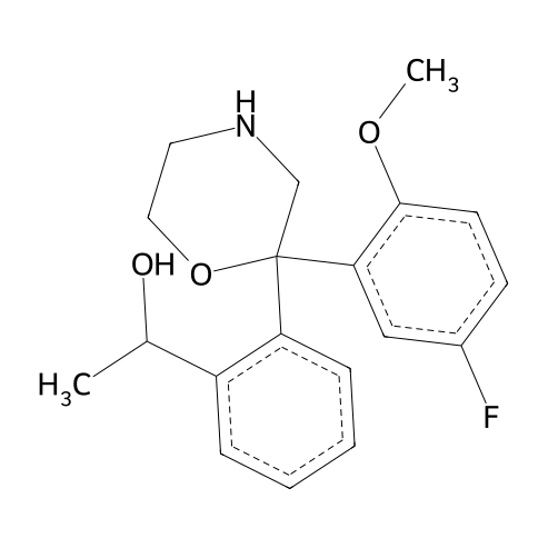 COc1ccc(F)cc1C1(c2ccccc2C(C)O)CNCCO1